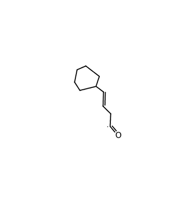 O=[C]C/C=C/C1CCCCC1